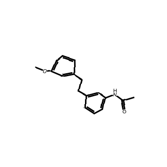 COc1cccc(CCc2[c]ccc(NC(C)=O)c2)c1